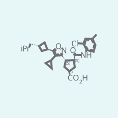 Cc1ccc(NC(=O)[C@H]2C[C@@H](C(=O)O)C[C@@H]2c2noc([C@H]3C[C@H](CC(C)C)C3)c2C2CC2)c(Cl)c1